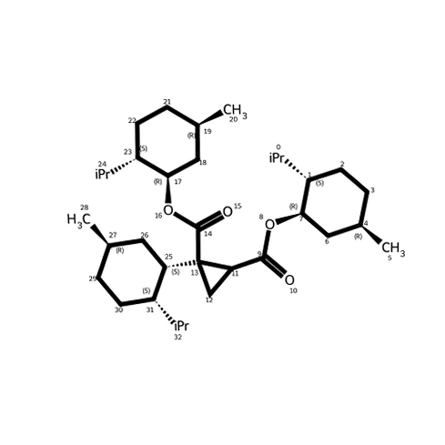 CC(C)[C@@H]1CC[C@@H](C)C[C@H]1OC(=O)C1CC1(C(=O)O[C@@H]1C[C@H](C)CC[C@H]1C(C)C)[C@H]1C[C@H](C)CC[C@H]1C(C)C